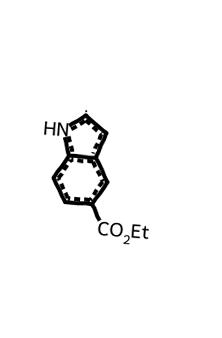 CCOC(=O)c1ccc2[nH][c]cc2c1